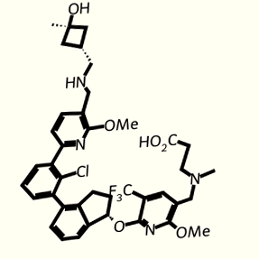 COc1nc(-c2cccc(-c3cccc4c3CC[C@@H]4Oc3nc(OC)c(CN(C)CCC(=O)O)cc3C(F)(F)F)c2Cl)ccc1CNC[C@H]1C[C@](C)(O)C1